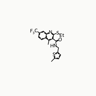 CCSc1nc2cc(C(F)(F)F)ccc2c(C)c1C(=O)NCc1ccc(C)s1